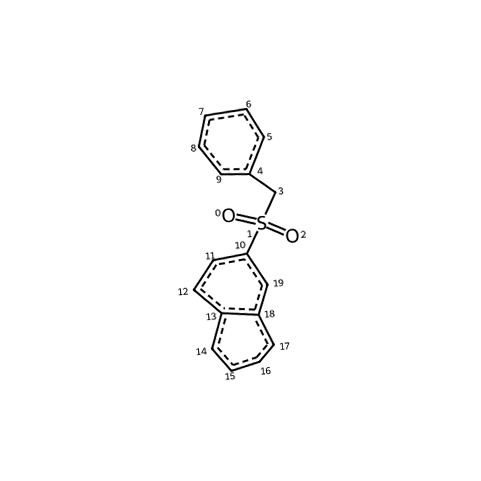 O=S(=O)(Cc1ccccc1)c1ccc2ccccc2c1